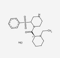 CCN1CCCC[C@H]1C(=O)N1CCNCC1S(=O)(=O)c1ccccc1.Cl